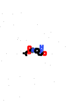 CC(C)COC(=O)[N+](C)(C)c1ccc2c(c1)CCC(=O)N2